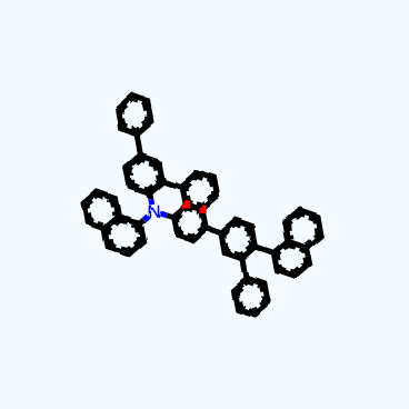 c1ccc(-c2ccc(N(c3ccc(-c4ccc(-c5cccc6ccccc56)c(-c5ccccc5)c4)cc3)c3cccc4ccccc34)c(-c3ccccc3)c2)cc1